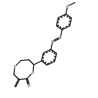 C=C1CSCCC(c2cccc(/N=N/c3ccc(OC)cc3)c2)OC1=O